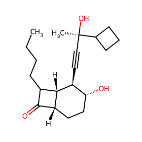 CCCCC1C(=O)[C@H]2CC[C@@H](O)[C@H](C#C[C@@](C)(O)C3CCC3)[C@@H]12